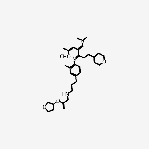 C=C(CNCCCc1ccc(/N=C(CCC2CCOCC2)/C(/C=C(/C)C=O)=C/N(C)C)c(C)c1)O[C@H]1CCOC1